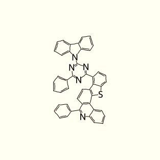 c1ccc(-c2nc(-c3cccc4sc5c(ccc6c(-c7ccccc7)nc7ccccc7c65)c34)nc(-n3c4ccccc4c4ccccc43)n2)cc1